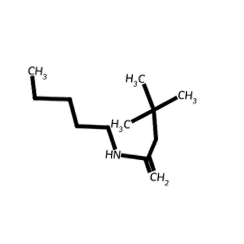 C=C(CC(C)(C)C)NCCCCC